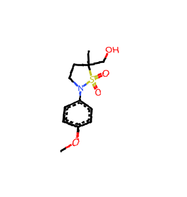 COc1ccc(N2CCC(C)(CO)S2(=O)=O)cc1